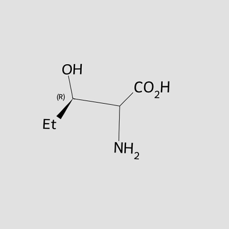 CC[C@@H](O)C(N)C(=O)O